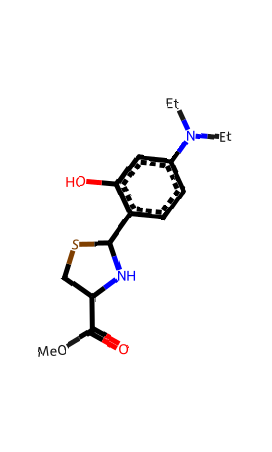 CCN(CC)c1ccc(C2NC(C(=O)OC)CS2)c(O)c1